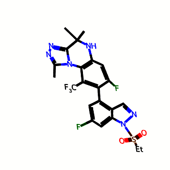 CCS(=O)(=O)n1ncc2c(-c3c(F)cc4c(c3C(F)(F)F)-n3c(C)nnc3C(C)(C)N4)cc(F)cc21